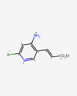 CCOC(=O)C=Cc1cnc(Br)cc1N